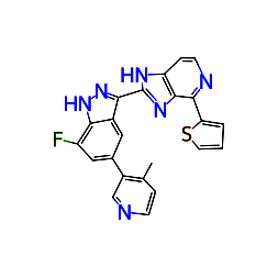 Cc1ccncc1-c1cc(F)c2[nH]nc(-c3nc4c(-c5cccs5)nccc4[nH]3)c2c1